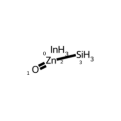 [InH3].[O]=[Zn][SiH3]